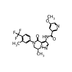 COc1cncc(C(=O)Nc2cnn3c2C(=O)N(c2ccc(C(F)(F)F)c(C)c2)C[C@@H]3C)c1